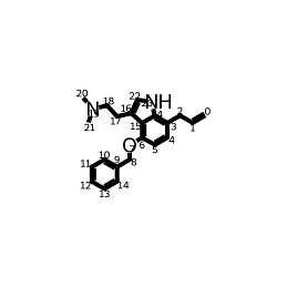 C=CCc1ccc(OCc2ccccc2)c2c(CCN(C)C)c[nH]c12